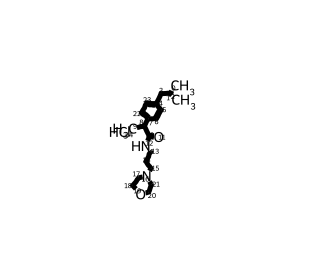 CC(C)Cc1ccc(C(C)C(=O)NCCCN2CCOCC2)cc1.Cl